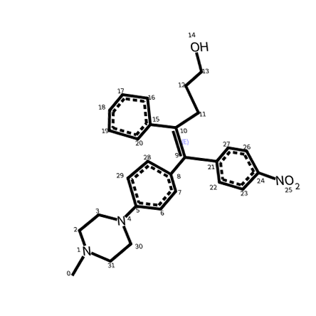 CN1CCN(c2ccc(/C(=C(/CCCO)c3ccccc3)c3ccc([N+](=O)[O-])cc3)cc2)CC1